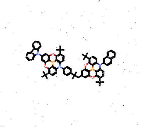 CC(C)(C)c1ccc2c3c1Oc1cc(CC(C)(C)c4ccc(N5c6ccc(C(C)(C)C)c7c6P6c8c(cc(-n9c%10ccccc%10c%10ccccc%109)cc8Oc8c(C(C)(C)C)ccc5c86)O7)cc4)cc4c1P3c1c(ccc(C(C)(C)C)c1O4)N2c1ccc2ccccc2c1